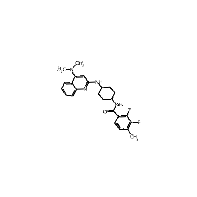 Cc1ccc(C(=O)NC2CCC(Nc3cc(N(C)C)c4ccccc4n3)CC2)c(F)c1F